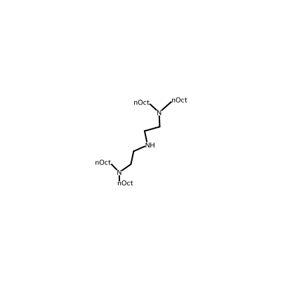 CCCCCCCCN(CCCCCCCC)CCNCCN(CCCCCCCC)CCCCCCCC